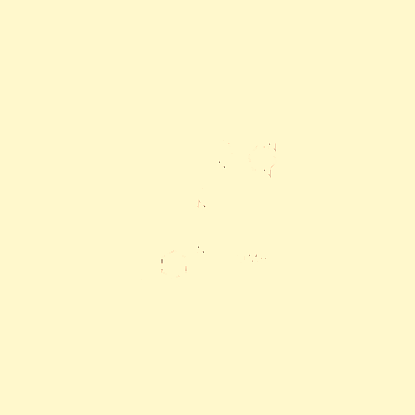 COCCN(c1ccc(Br)cc1)C1CCN(C2(C)CCN(C(=O)c3c(C)ncnc3C)CC2)CC1